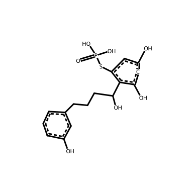 O=P(O)(O)Sc1cc(O)cc(O)c1C(O)CCCc1cccc(O)c1